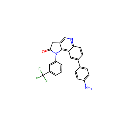 Nc1ccc(-c2ccc3ncc4c(c3c2)N(c2cccc(C(F)(F)F)c2)C(=O)C4)cc1